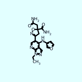 CCn1ncc2c(Nc3ccoc3)c(C3=NOC(CC(N)=O)(C(N)=O)C3)cnc21